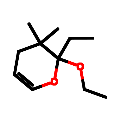 CCOC1(CC)OC=CCC1(C)C